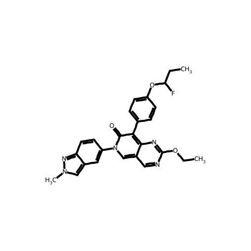 CCOc1ncc2cn(-c3ccc4nn(C)cc4c3)c(=O)c(-c3ccc(OC(F)CC)cc3)c2n1